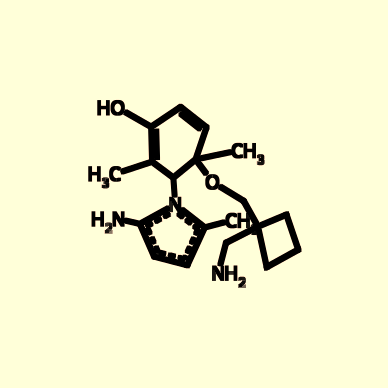 CC1=C(O)C=CC(C)(OCC2(CN)CCC2)C1n1c(C)ccc1N